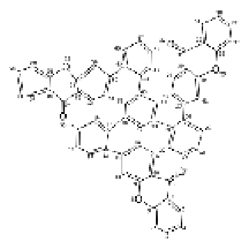 O=c1c2ccccc2oc2cc(-c3ccccc3-c3cc(-c4ccccc4-c4ccc5c(=O)c6ccccc6oc5c4)cc(-c4ccccc4-c4ccc5c(=O)c6ccccc6oc5c4)c3)ccc12